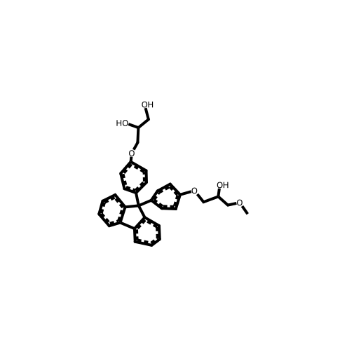 COCC(O)COc1ccc(C2(c3ccc(OCC(O)CO)cc3)c3ccccc3-c3ccccc32)cc1